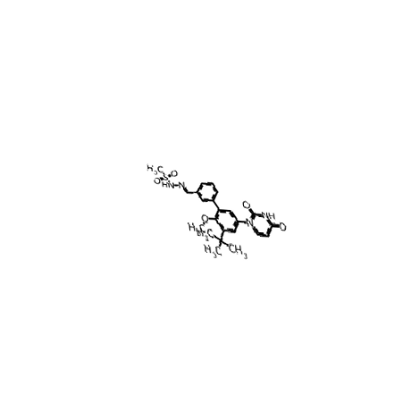 COc1c(-c2cccc(/C=N/NS(C)(=O)=O)c2)cc(-n2ccc(=O)[nH]c2=O)cc1C(C)(C)C